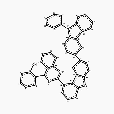 N#Cc1ccccc1-c1nc(-c2cccc3oc4ccc(-c5ccc6c(c5)c5ccccc5n6-c5ccccc5)cc4c23)nc2ccccc12